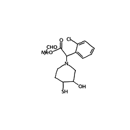 CC=O.COC(=O)C(c1ccccc1Cl)N1CCC(S)C(O)C1